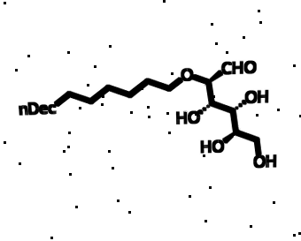 CCCCCCCCCCCCCCCCO[C@@H](C=O)[C@@H](O)[C@H](O)[C@H](O)CO